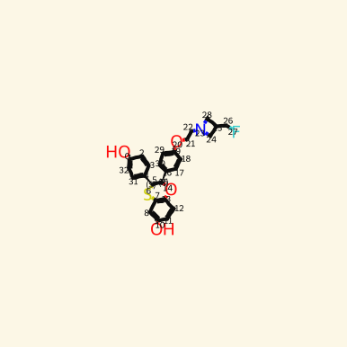 Oc1ccc([C@@H]2Sc3cc(O)ccc3O[C@@H]2c2ccc(OCCN3CC(CF)C3)cc2)cc1